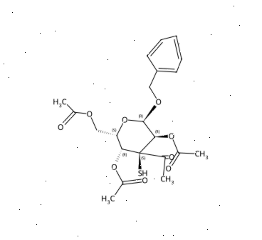 CC(=O)OC[C@@H]1O[C@@H](OCc2ccccc2)[C@@H](OC(C)=O)[C@](S)(C(C)=O)[C@@H]1OC(C)=O